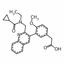 CCN(Cc1nc2ccccc2cc1-c1cc(CC(=O)O)ccc1OC)C(=O)C1CC1